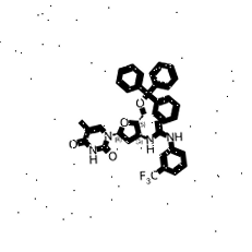 C=C(Nc1cccc(C(F)(F)F)c1)N[C@H]1C[C@H](n2cc(C)c(=O)[nH]c2=O)O[C@@H]1COC(c1ccccc1)(c1ccccc1)c1ccccc1